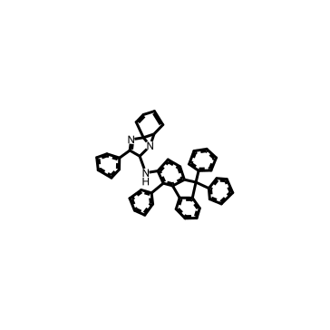 C1=CC2N3C(Nc4ccc5c(c4-c4ccccc4)-c4ccccc4C5(c4ccccc4)c4ccccc4)C(c4ccccc4)=NC23C=C1